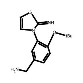 CC(C)(C)Oc1ccc(CN)cc1-n1ccsc1=N